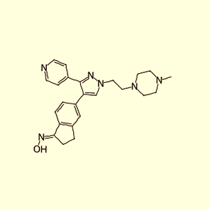 CN1CCN(CCn2cc(-c3ccc4c(c3)CCC4=NO)c(-c3ccncc3)n2)CC1